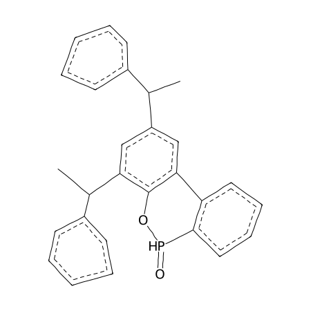 CC(c1ccccc1)c1cc2c(c(C(C)c3ccccc3)c1)O[PH](=O)c1ccccc1-2